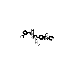 NC(CC(=O)NCCc1cccc(Cl)c1)c1ccc(C(=O)Nc2ccncc2)cc1